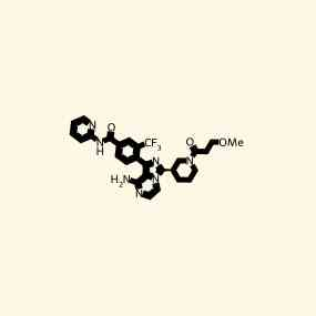 COCCC(=O)N1CCC[C@@H](c2nc(-c3ccc(C(=O)Nc4ccccn4)cc3C(F)(F)F)c3c(N)nccn23)C1